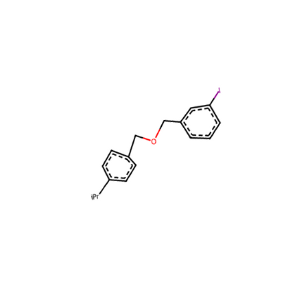 CC(C)c1ccc(COCc2cccc(I)c2)cc1